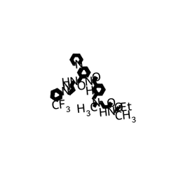 CCOC(C)NC(=O)CCN(C)Cc1cccc(C(=O)Nc2ccc(N3CCCCC3)cc2C(=O)Nc2ccn(-c3cccc(C(F)(F)F)c3)n2)c1